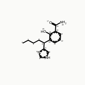 CCCCC(c1c[nH]cn1)c1cccc(C(N)=O)c1O